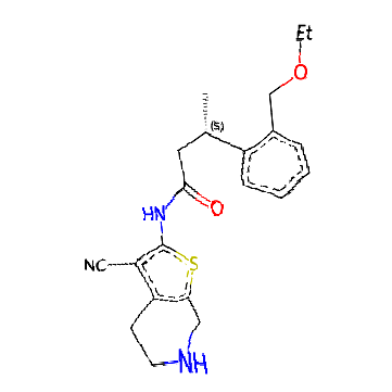 CCOCc1ccccc1[C@@H](C)CC(=O)Nc1sc2c(c1C#N)CCNC2